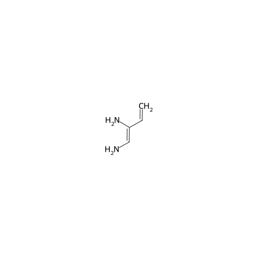 C=CC(N)=CN